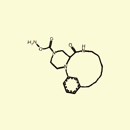 NOC(=O)N1CCN2c3cccc(c3)CCCCCCNC(=O)C2C1